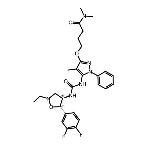 CCN1C[C@@H](NC(=O)Nc2c(C)c(OCCCC(=O)N(C)C)nn2-c2ccccc2)[C@H](c2ccc(F)c(F)c2)O1